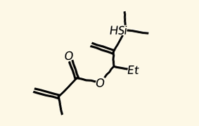 C=C(C)C(=O)OC(CC)C(=C)[SiH](C)C